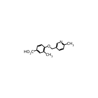 Cc1ccc(COc2ccc(C(=O)O)cc2C)cn1